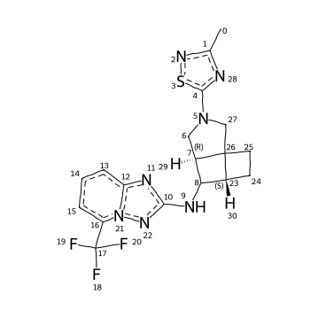 Cc1nsc(N2C[C@@H]3C(Nc4nc5cccc(C(F)(F)F)n5n4)[C@H]4CCC43C2)n1